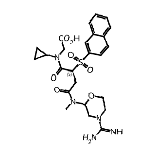 CN(C(=O)C[C@@H](C(=O)N(CC(=O)O)C1CC1)S(=O)(=O)c1ccc2ccccc2c1)C1CN(C(=N)N)CCO1